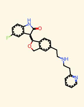 O=C1Nc2ccc(F)cc2/C1=C1\OCc2cc(CCNCCc3ccccn3)ccc21